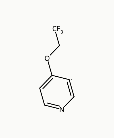 FC(F)(F)COc1[c]cncc1